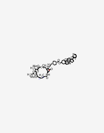 CO[C@H]1/C=C\C=C(/C)C(=O)NC2=CC(=O)C(NCCN3CCN(C(=O)O[C@H]4CC[C@@]5(C)C(=CC[C@@H]6[C@@H]5CC[C@]5(C)C(c7cccnc7)=CC[C@@H]65)C4)CC3)=C(C[C@@H](C)C[C@H](OC)[C@H]3OC(=C[C@@H]3C)[C@@H]1OC(N)=O)C2=O